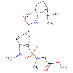 CNc1ccc(C(=O)NC2C3(C)CCC(C3)C2(C)C)cc1S(=O)(=O)N(C)CC(=O)OC